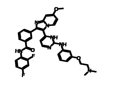 COc1ccn2c(C3=CC=NC(Nc4cccc(OCCN(C)C)c4)N3)c(-c3cccc(C(=O)Nc4ccc(F)cc4F)c3)nc2c1